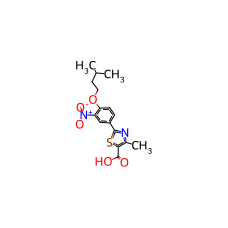 Cc1nc(-c2ccc(OCCC(C)C)c([N+](=O)[O-])c2)sc1C(=O)O